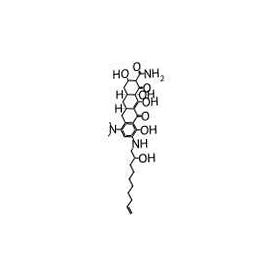 C=CCCCCCCC(O)CNc1cc(N(C)C)c2c(c1O)C(=O)C1=C(O)[C@]3(O)C(=O)C(C(N)=O)C(O)C[C@@H]3C[C@@H]1C2